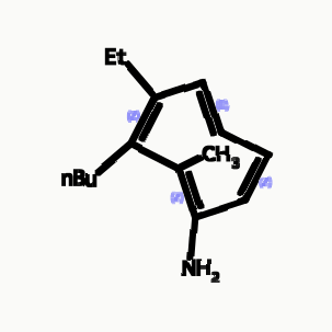 CCCCC1=C(CC)/C=C/C=C\C(N)=C\1C